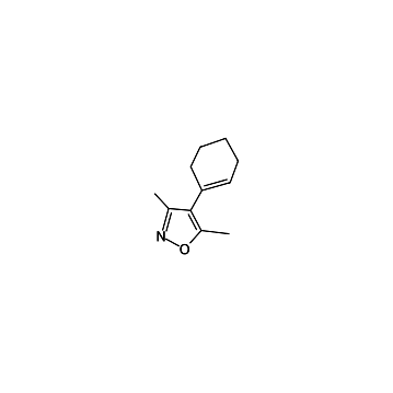 Cc1noc(C)c1C1=CCCCC1